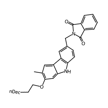 CCCCCCCCCCCCOc1cc2[nH]c3ccc(CN4C(=O)c5ccccc5C4=O)cc3c2cc1C